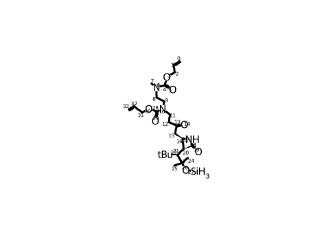 C=CCOC(=O)N(C)CCN(CCC(=O)C[C@H]1NC(=O)[C@H]1[C@H](C(C)(C)C)C(C)(C)O[SiH3])C(=O)OCC=C